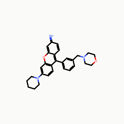 N=c1ccc2c(-c3cccc(CN4CCOCC4)c3)c3ccc(N4CCCCC4)cc3oc-2c1